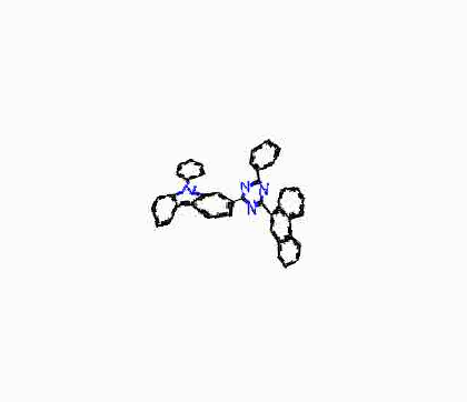 c1ccc(-c2nc(-c3ccc4c5ccccc5n(-c5ccccc5)c4c3)nc(-c3cc4ccccc4c4ccccc34)n2)cc1